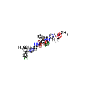 CCOP(=O)(CCCN1CCN(CC[C@H](CSc2ccccc2)Nc2ccc(S(=O)(=O)NC(=O)c3ccc(N4CCN(CC5=C(c6ccc(Cl)cc6)CCC(C)(C)C5)CC4)cc3)cc2S(=O)(=O)C(F)(F)F)CC1)OCC